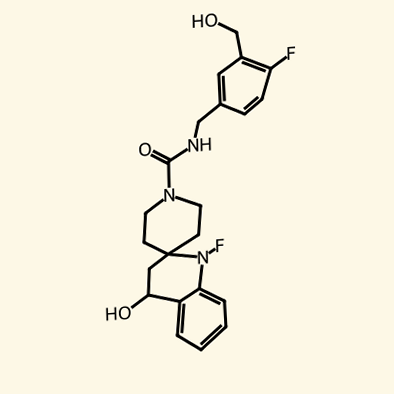 O=C(NCc1ccc(F)c(CO)c1)N1CCC2(CC1)CC(O)c1ccccc1N2F